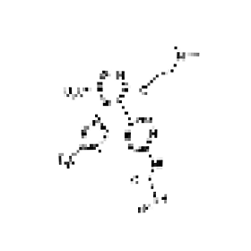 CCCNC(=O)Nc1cc(-c2nc(C(F)(F)F)cs2)c(-c2cc(C(=O)O)cnc2OCCN(C)C)cn1